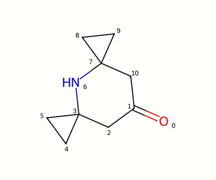 O=C1CC2(CC2)NC2(CC2)C1